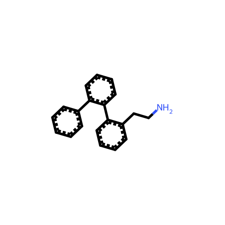 NCCc1ccccc1-c1ccccc1-c1ccccc1